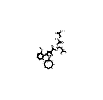 COc1cccc(OC)c1-c1cc(C(=O)N[C@H](CC(=O)NCC(=O)O)CC(C)C)nn1C1CCCCCCC1